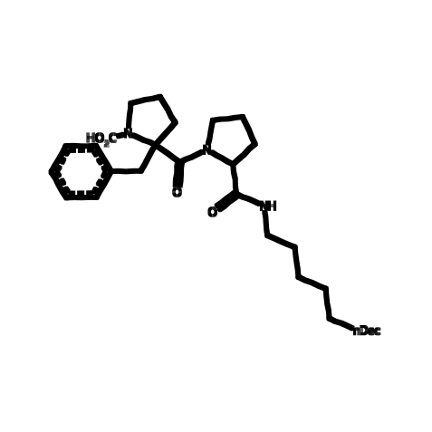 CCCCCCCCCCCCCCCNC(=O)C1CCCN1C(=O)C1(Cc2ccccc2)CCCN1C(=O)O